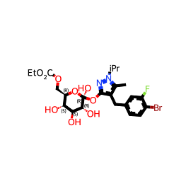 CCOC(=O)OC[C@H]1O[C@@](O)(Oc2nn(C(C)C)c(C)c2Cc2ccc(Br)c(F)c2)[C@H](O)[C@@H](O)[C@@H]1O